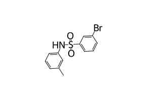 Cc1cccc(NS(=O)(=O)c2cccc(Br)c2)c1